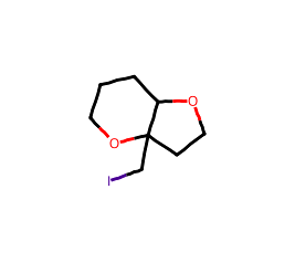 ICC12CCOC1CCCO2